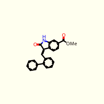 COC(=O)c1ccc2c(c1)NC(=O)/C2=C/c1ccccc1-c1ccccc1